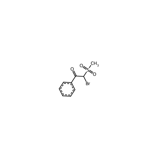 CS(=O)(=O)C(Br)C(=O)c1ccccc1